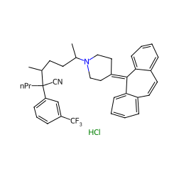 CCCC(C#N)(c1cccc(C(F)(F)F)c1)C(C)CCC(C)N1CCC(=C2c3ccccc3C=Cc3ccccc32)CC1.Cl